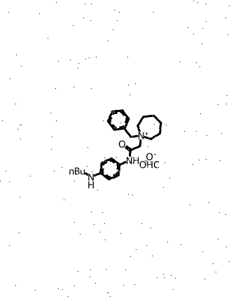 CCCCNc1ccc(NC(=O)C[N+]2(Cc3ccccc3)CCCCCC2)cc1.O=C[O-]